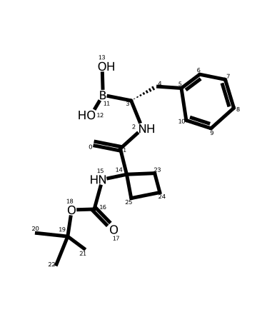 C=C(N[C@@H](Cc1ccccc1)B(O)O)C1(NC(=O)OC(C)(C)C)CCC1